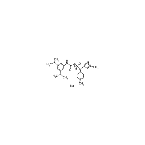 CC(C)c1cc(NC(=O)NS(=O)(=O)N(c2cnn(C)c2)C2CCN(C)CC2)cc(C(C)C)c1.[Na]